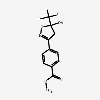 COC(=O)c1ccc(C2=NOC(O)(C(F)(F)Cl)C2)cc1